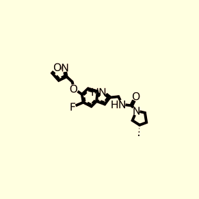 C[C@H]1CCN(C(=O)NCc2cc3cc(F)c(OCc4ccon4)cc3[nH]2)C1